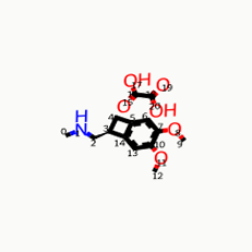 CNC[C@H]1Cc2cc(OC)c(OC)cc21.O=C(O)C(=O)O